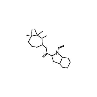 C=CN1C(C(=C)CC2CCCC(C)(C)C(C)(C)C2C)CC2CCCCC21